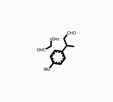 CC(CC=O)c1ccc(C(C)(C)C)cc1.CCCCCCCCCCCC=O